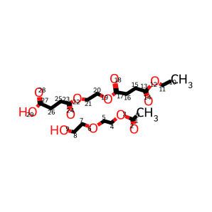 CC(=O)OCCOCCO.CCOC(=O)CCC(=O)OCCOC(=O)CCC(=O)O